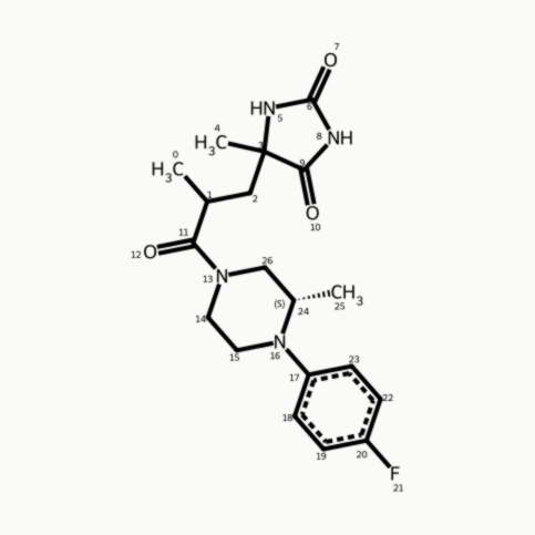 CC(CC1(C)NC(=O)NC1=O)C(=O)N1CCN(c2ccc(F)cc2)[C@@H](C)C1